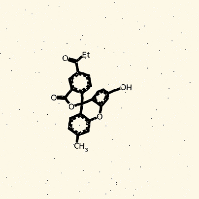 CCC(=O)c1ccc2c(c1)C(=O)OC21c2ccc(C)cc2Oc2cc(O)ccc21